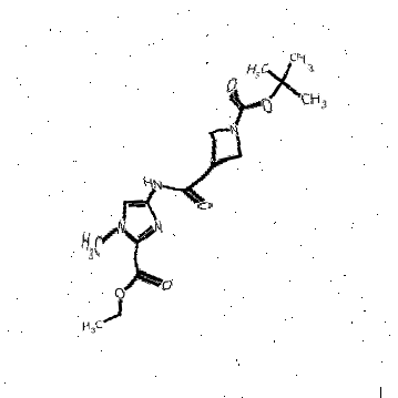 CCOC(=O)c1nc(NC(=O)C2CN(C(=O)OC(C)(C)C)C2)cn1C